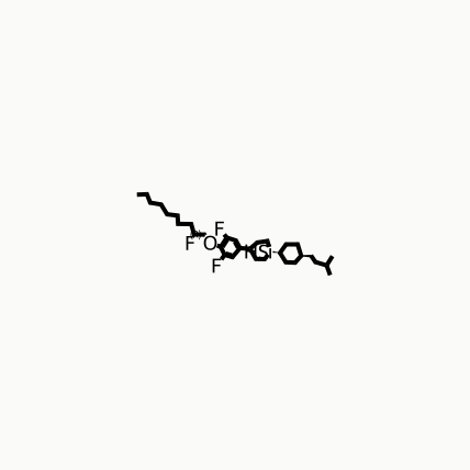 CCCCCCCC[C@@H](F)COc1c(F)cc(C2CC[SiH]([C@H]3CC[C@H](CCC(C)C)CC3)CC2)cc1F